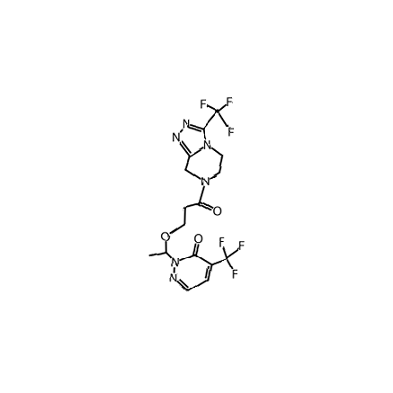 CC(OCCC(=O)N1CCn2c(nnc2C(F)(F)F)C1)n1nccc(C(F)(F)F)c1=O